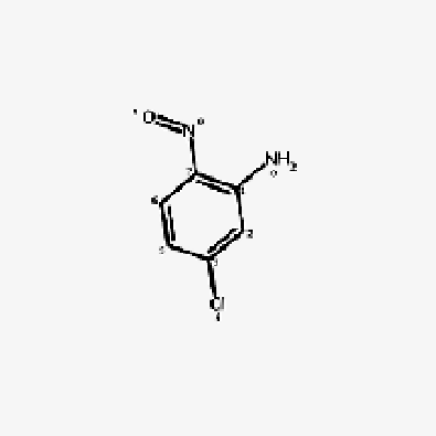 Nc1cc(Cl)ccc1N=O